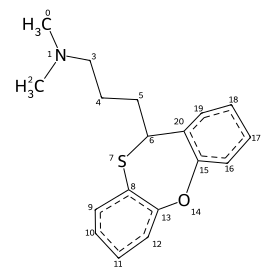 CN(C)CCCC1Sc2ccccc2Oc2ccccc21